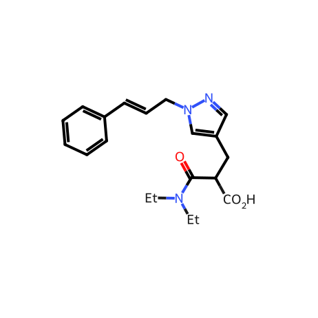 CCN(CC)C(=O)C(Cc1cnn(CC=Cc2ccccc2)c1)C(=O)O